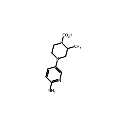 CC1CN(c2ccc(N)nc2)CCN1C(=O)O